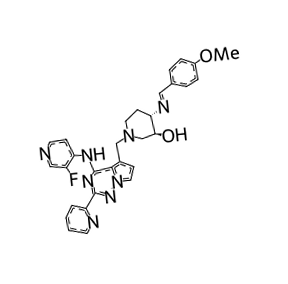 COc1ccc(/C=N/[C@H]2CCN(Cc3ccn4nc(-c5ccccn5)nc(Nc5ccncc5F)c34)C[C@@H]2O)cc1